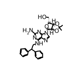 CC1(C)O[C@@H]2[C@H](O1)[C@@H](CO)O[C@H]2n1cnc2c(NCC(c3ccccc3)c3ccccc3)nc(N)nc21